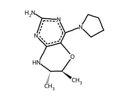 C[C@@H]1Nc2nc(N)nc(N3CCCC3)c2O[C@H]1C